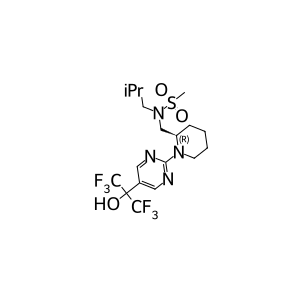 CC(C)CN(C[C@H]1CCCCN1c1ncc(C(O)(C(F)(F)F)C(F)(F)F)cn1)S(C)(=O)=O